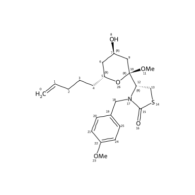 C=CCCC[C@@H]1C[C@@H](O)C[C@](OC)([C@@H]2CSC(=O)N2Cc2ccc(OC)cc2)O1